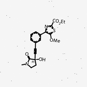 CCOC(=O)c1nc(-c2cccc(C#C[C@]3(O)CCN(C)C3=O)c2)c(OC)s1